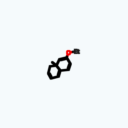 CCOC1=CC2(C)CC=CC=C2C=C1